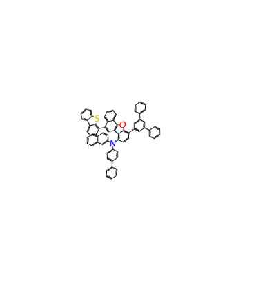 c1ccc(-c2ccc(N(c3ccc4ccccc4c3)c3ccc(-c4cc(-c5ccccc5)cc(-c5ccccc5)c4)c4oc5c6ccccc6c(-c6cccc7c6sc6ccccc67)cc5c34)cc2)cc1